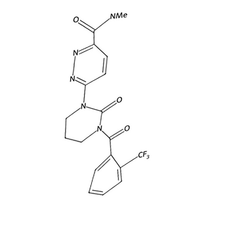 CNC(=O)c1ccc(N2CCCN(C(=O)c3ccccc3C(F)(F)F)C2=O)nn1